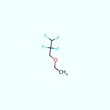 CCOCC(F)(F)C(F)F